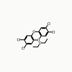 CCOCC.Clc1cc2c(cc1Cl)Oc1cc(Cl)c(Cl)cc1O2